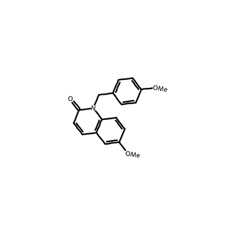 COc1ccc(Cn2c(=O)ccc3cc(OC)ccc32)cc1